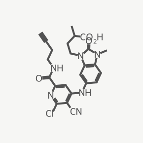 C#CCCNC(=O)c1cc(Nc2ccc3c(c2)n(CCC(C)C(=O)O)c(=O)n3C)c(C#N)c(Cl)n1